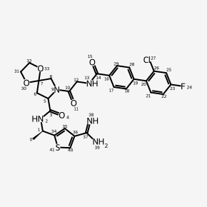 C[C@@H](NC(=O)C1CC2(CN1C(=O)CNC(=O)c1ccc(-c3ccc(F)cc3Cl)cc1)OCCO2)c1cc(C(=N)N)cs1